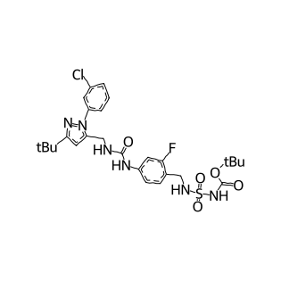 CC(C)(C)OC(=O)NS(=O)(=O)NCc1ccc(NC(=O)NCc2cc(C(C)(C)C)nn2-c2cccc(Cl)c2)cc1F